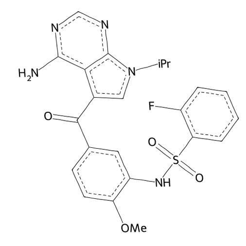 COc1ccc(C(=O)c2cn(C(C)C)c3ncnc(N)c23)cc1NS(=O)(=O)c1ccccc1F